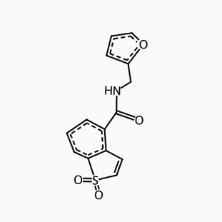 O=C(NCc1ccco1)c1cccc2c1C=CS2(=O)=O